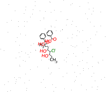 CCC(O)C(Cl)C(O)CC.O=C(O)c1ccccc1.O=C(O)c1ccccc1